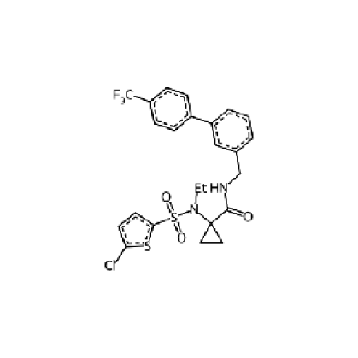 CCN(C1(C(=O)NCc2cccc(-c3ccc(C(F)(F)F)cc3)c2)CC1)S(=O)(=O)c1ccc(Cl)s1